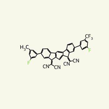 [C-]#[N+]/C(C#N)=C1/c2cc(-c3cc(F)cc(C(F)(F)F)c3)ccc2-c2cc3c(cc21)/C(=C(\C#N)[N+]#[C-])c1cc(-c2cc(C)cc(F)c2)ccc1-3